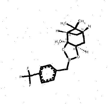 CC1(C)[C@@H]2C[C@H]3OB(Cc4ccc(C(F)(F)F)cc4)O[C@@]3(C)[C@H]1C2